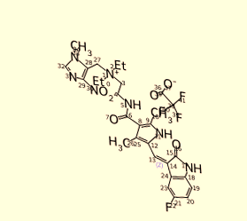 CC[N+](CC)(CCNC(=O)c1c(C)[nH]c(/C=C2\C(=O)Nc3ccc(F)cc32)c1C)Cc1c([N+](=O)[O-])ncn1C.O=C([O-])C(F)(F)F